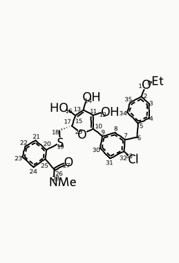 CCOc1ccc(Cc2cc(C3=C(O)C(O)=C(O)[C@@H](CSc4ccccc4C(=O)NC)O3)ccc2Cl)cc1